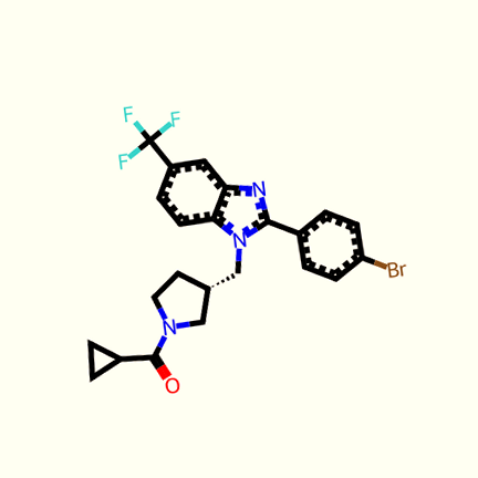 O=C(C1CC1)N1CC[C@H](Cn2c(-c3ccc(Br)cc3)nc3cc(C(F)(F)F)ccc32)C1